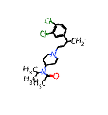 [CH2]C(CCN1CCC(N(C(C)=O)C(C)C)CC1)c1ccc(Cl)c(Cl)c1